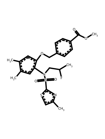 COC(=O)c1ccc(COc2cc(C)c(C)cc2N(CC(C)F)S(=O)(=O)c2nc(C)cs2)cc1